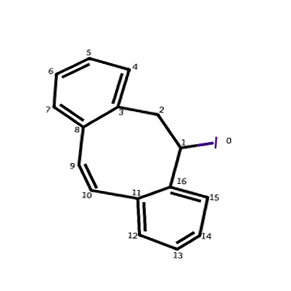 IC1Cc2ccccc2/C=C\c2ccccc21